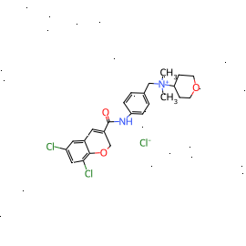 C[N+](C)(Cc1ccc(NC(=O)C2=Cc3cc(Cl)cc(Cl)c3OC2)cc1)C1CCOCC1.[Cl-]